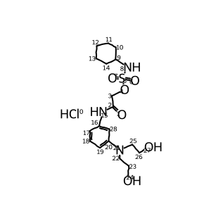 Cl.O=C(COS(=O)(=O)NC1CCCCC1)Nc1cccc(N(CCO)CCO)c1